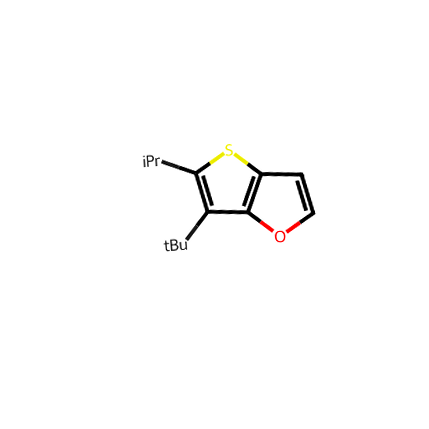 CC(C)c1sc2ccoc2c1C(C)(C)C